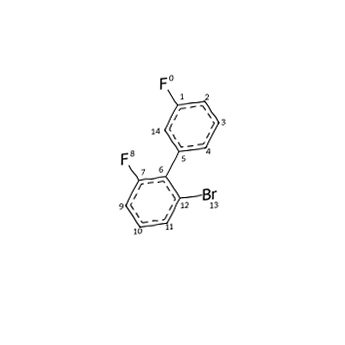 Fc1cccc(-c2c(F)cccc2Br)c1